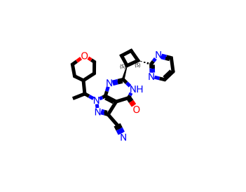 CC(C1CCOCC1)n1nc(C#N)c2c(=O)[nH]c([C@H]3CC[C@@H]3c3ncccn3)nc21